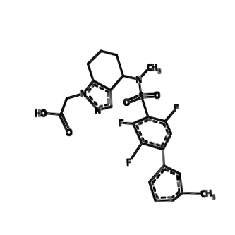 Cc1cccc(-c2cc(F)c(S(=O)(=O)N(C)C3CCCc4c3cnn4CC(=O)O)c(F)c2F)c1